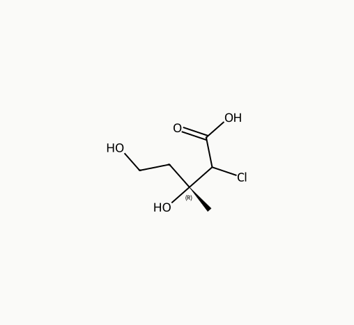 C[C@@](O)(CCO)C(Cl)C(=O)O